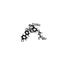 COC(=O)c1cc(OC2CN(C(=O)OC(C)(C)C)C2)ccc1NS(=O)(=O)c1ccc(-c2ccc(Cl)cc2)cc1